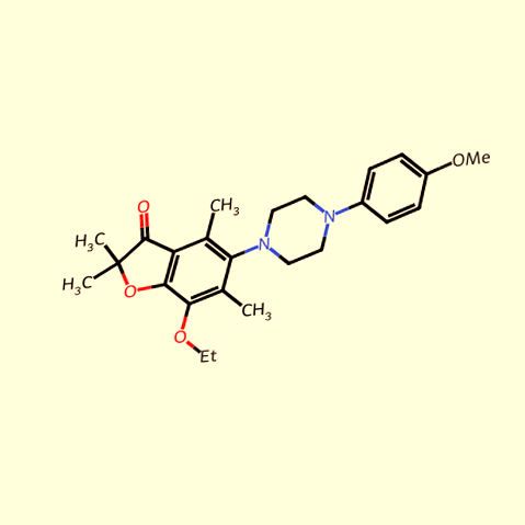 CCOc1c(C)c(N2CCN(c3ccc(OC)cc3)CC2)c(C)c2c1OC(C)(C)C2=O